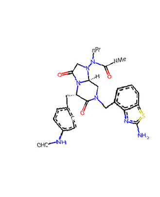 CCCN(C(=O)NC)N1CC(=O)N2[C@@H](Cc3ccc(NC=O)cc3)C(=O)N(Cc3cccc4sc(N)nc34)C[C@@H]21